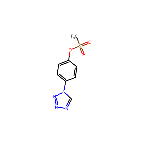 O=S(=O)(Oc1ccc(-n2cnnn2)cc1)C(F)(F)F